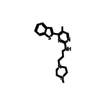 Cc1cnc(NCCCN2CCN(C)CC2)nc1-c1cc2ccccc2s1